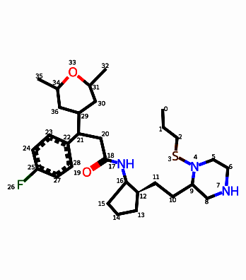 CCCSN1CCNCC1CC[C@H]1CCCC1NC(=O)CC(c1ccc(F)cc1)C1CC(C)OC(C)C1